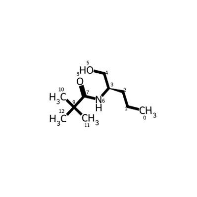 CCC[C@H](CO)NC(=O)C(C)(C)C